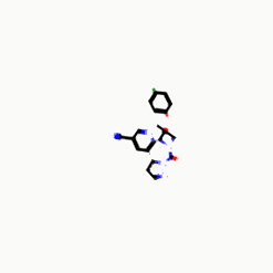 CC1(Oc2ccc(F)cc2)CN(C(=O)N2N=CC[C@H]2c2cncc(C#N)c2)C1